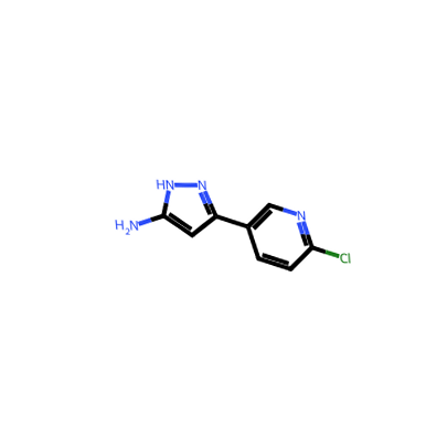 Nc1cc(-c2ccc(Cl)nc2)n[nH]1